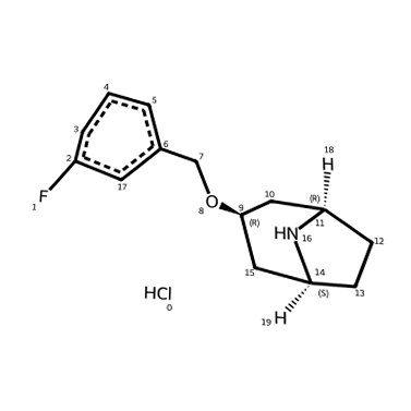 Cl.Fc1cccc(CO[C@H]2C[C@H]3CC[C@@H](C2)N3)c1